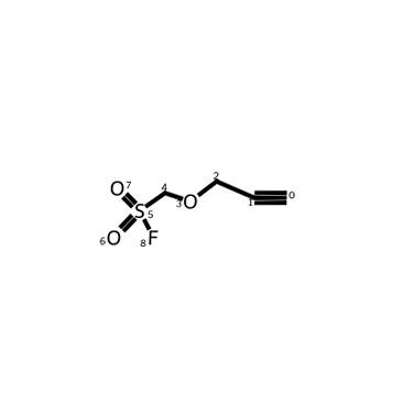 C#CCOCS(=O)(=O)F